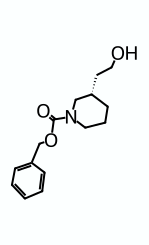 O=C(OCc1ccccc1)N1CCC[C@@H](CCO)C1